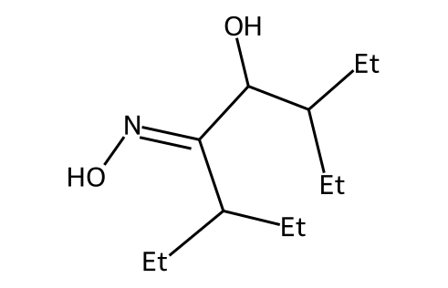 CCC(CC)/C(=N\O)C(O)C(CC)CC